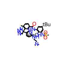 COc1c(NC(=O)c2ccc(C)c(C3(c4ccc(NCCN(C)C)nc4)C=NN=N3)c2)cc(C(C)(C)C)cc1NS(C)(=O)=O